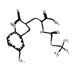 Cc1ccc2c(c1)CC(CC(NC(=O)OC(C)(C)C)C(N)=O)C(=O)N2